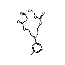 CCCCOC(=O)OCCN(CCOC(=O)OCCCC)c1cccc(C)c1